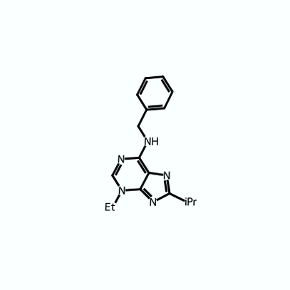 CCn1cnc(NCc2ccccc2)c2nc(C(C)C)nc1-2